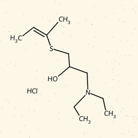 CC=C(C)SCC(O)CN(CC)CC.Cl